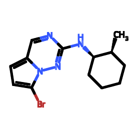 C[C@H]1CCCC[C@H]1Nc1ncc2ccc(Br)n2n1